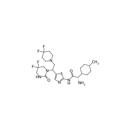 CC1CCC([C@H](N)C(=O)Nc2ncc(C(CN3CCC(F)(F)CC3)N3CC(F)(F)CNC3=O)s2)CC1